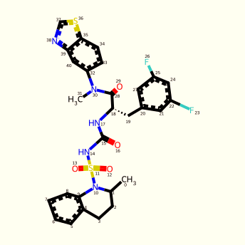 CC1CCc2ccccc2N1S(=O)(=O)NC(=O)N[C@@H](Cc1cc(F)cc(F)c1)C(=O)N(C)c1ccc2scnc2c1